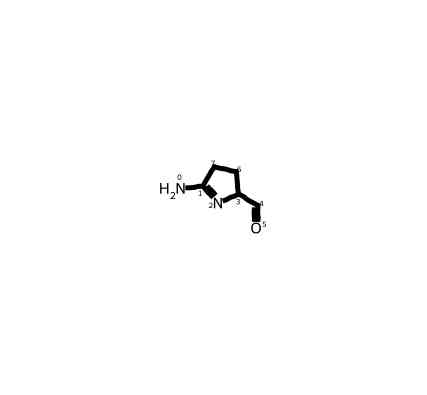 NC1=NC(C=O)CC1